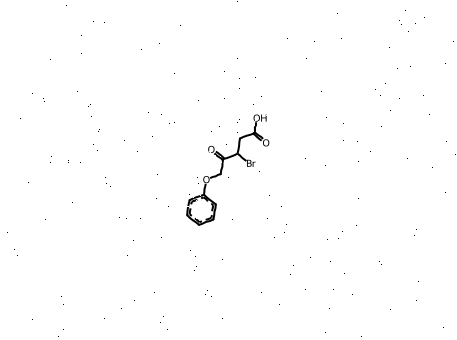 O=C(O)CC(Br)C(=O)COc1ccccc1